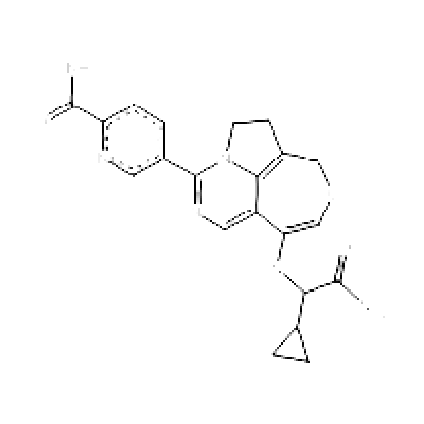 NC(=O)c1ccc(C2=NC=C3C(NC(C(N)=O)C4CC4)=COCC4=C3N2CC4)cn1